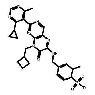 CCS(=O)(=O)C1C=CC(CNc2nc3cnc(-c4c(C)ncnc4C4CC4)nc3n(CC3CCC3)c2=O)=CC1C